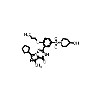 CCCOc1ccc(S(=O)(=O)N2CCC(O)CC2)cc1-c1nn2c(C3CCCC3)nc(C)c2c(=O)[nH]1